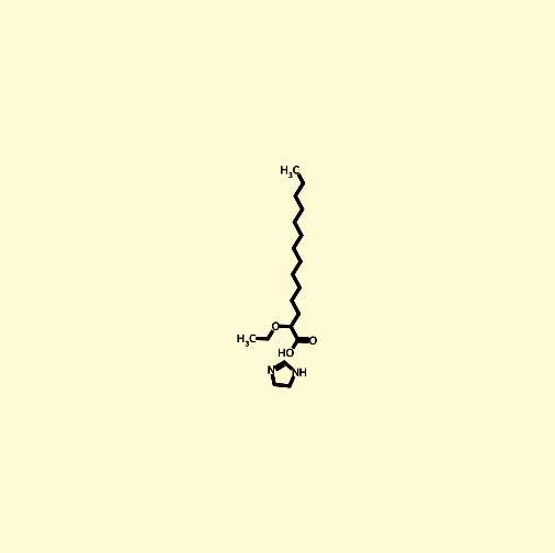 C1=NCCN1.CCCCCCCCCCCCC(OCC)C(=O)O